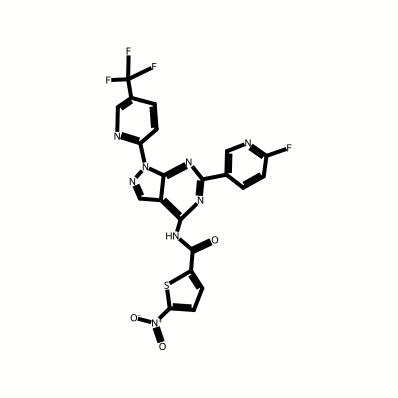 O=C(Nc1nc(-c2ccc(F)nc2)nc2c1cnn2-c1ccc(C(F)(F)F)cn1)c1ccc([N+](=O)[O-])s1